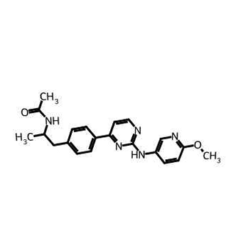 COc1ccc(Nc2nccc(-c3ccc(CC(C)NC(C)=O)cc3)n2)cn1